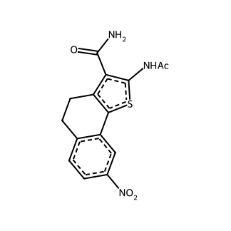 CC(=O)Nc1sc2c(c1C(N)=O)CCc1ccc([N+](=O)[O-])cc1-2